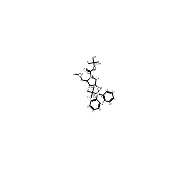 COCC1CC(O[Si](c2ccccc2)(c2ccccc2)C(C)(C)C)CN1C(=O)OC(C)(C)C